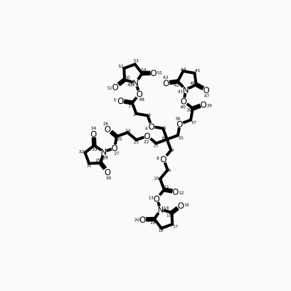 O=C(CCOCC(COCCC(=O)ON1C(=O)CCC1=O)(COCCC(=O)ON1C(=O)CCC1=O)COCC(=O)ON1C(=O)CCC1=O)ON1C(=O)CCC1=O